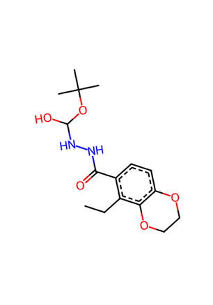 CCc1c(C(=O)NNC(O)OC(C)(C)C)ccc2c1OCCO2